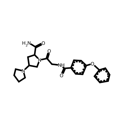 NC(=O)C1CC(N2CCCC2)CN1C(=O)CNC(=O)c1ccc(Oc2ccccc2)cc1